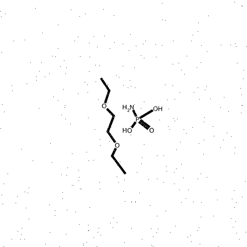 CCOCCOCC.NP(=O)(O)O